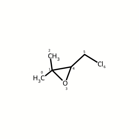 CC1(C)OC1CCl